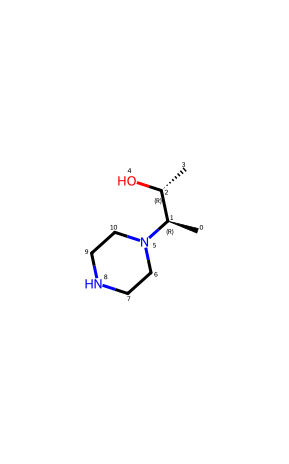 C[C@H]([C@@H](C)O)N1CCNCC1